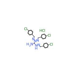 Cl.NC(NN=Cc1ccc(Cl)cc1)=[N+](N=Cc1ccc(Cl)cc1)N=Cc1ccc(Cl)cc1